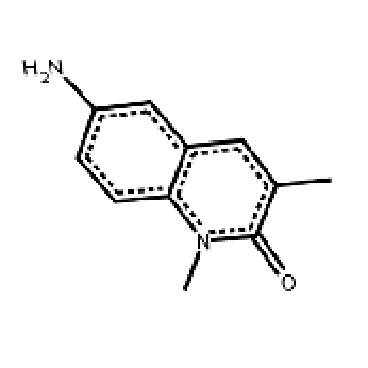 Cc1cc2cc(N)ccc2n(C)c1=O